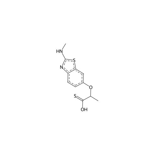 CNc1nc2ccc(OC(C)C(O)=S)cc2s1